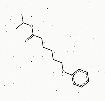 CC(C)OC(=O)CCCCCOc1ccccc1